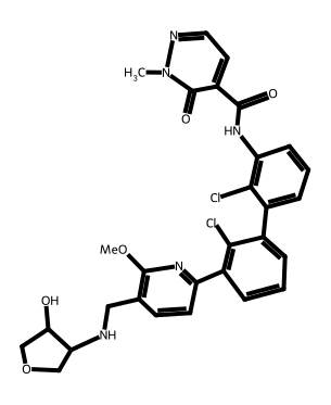 COc1nc(-c2cccc(-c3cccc(NC(=O)c4ccnn(C)c4=O)c3Cl)c2Cl)ccc1CNC1COCC1O